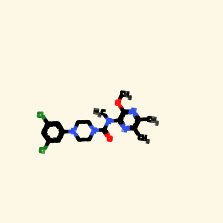 COc1nc(C)c(C)nc1N(C)C(=O)N1CCN(c2cc(Cl)cc(Cl)c2)CC1